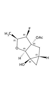 CC(=O)O[C@]12C[C@@H]3C[C@]3(O)[C@H]1O[C@@H](C)[C@H]2F